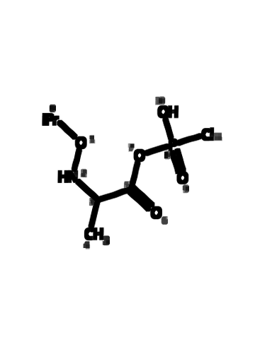 CC(C)ONC(C)C(=O)OP(=O)(O)Cl